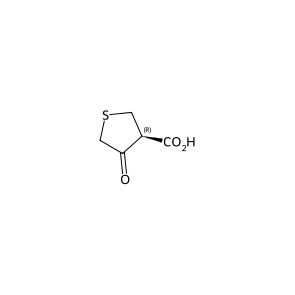 O=C(O)[C@@H]1CSCC1=O